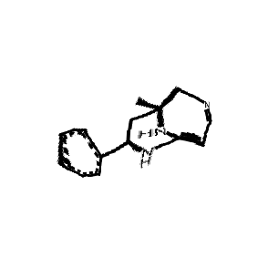 CC12CN=CC=C(NC(c3ccccc3)C1)N2